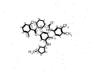 Cc1ccc(NC(=O)[C@H]2CCCN(C(=O)c3c(C)cccc3F)[C@H]2c2ccc(NC3CC[C@@H](C)C3)c(F)c2)cc1C(F)(F)F